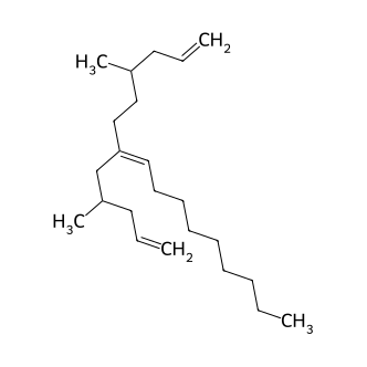 C=CCC(C)CCC(=CCCCCCCCC)CC(C)CC=C